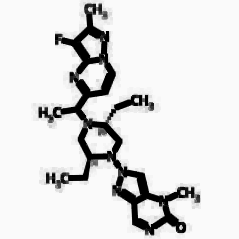 CC[C@@H]1CN(n2cc3c(cnc(=O)n3C)n2)[C@@H](CC)CN1C(C)c1ccn2nc(C)c(F)c2n1